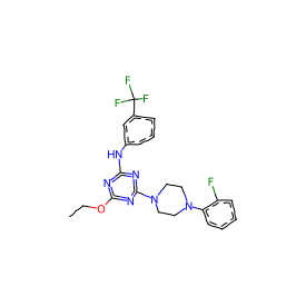 CCOc1nc(Nc2cccc(C(F)(F)F)c2)nc(N2CCN(c3ccccc3F)CC2)n1